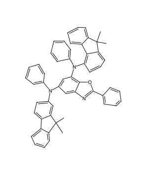 CC1(C)c2ccccc2-c2ccc(N(c3ccccc3)c3cc(N(c4ccccc4)c4cccc5c4-c4ccccc4C5(C)C)c4oc(-c5ccccc5)nc4c3)cc21